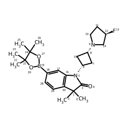 CC1(C)C(=O)N([C@H]2C[C@@H](N3CC[C@@H](F)C3)C2)c2cc(B3OC(C)(C)C(C)(C)O3)ccc21